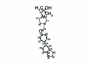 CC(C)(O)CN1CCC(COc2ccc(-c3ccc4c(c3)CCS4)cc2)CC1